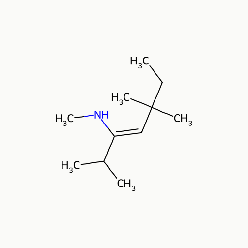 CCC(C)(C)/C=C(\NC)C(C)C